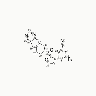 N#Cc1cc(F)cc([C@@H]2CCON2C(=O)[C@H]2CC[C@H](Cc3cncnc3)CC2)c1